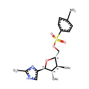 CC(=O)O[C@H]1[C@H](OC(C)=O)[C@@H](COS(=O)(=O)c2ccc([N+](=O)[O-])cc2)O[C@@H]1c1c[nH]c([N+](=O)[O-])n1